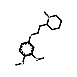 COc1ccc(OCCC2CCCCN2C)cc1OC